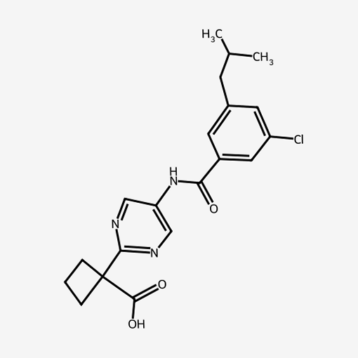 CC(C)Cc1cc(Cl)cc(C(=O)Nc2cnc(C3(C(=O)O)CCC3)nc2)c1